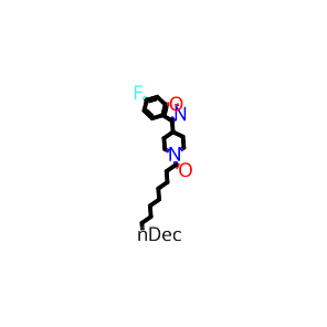 CCCCCCCCCCCCCCCCCC(=O)N1CCC(c2noc3cc(F)ccc23)CC1